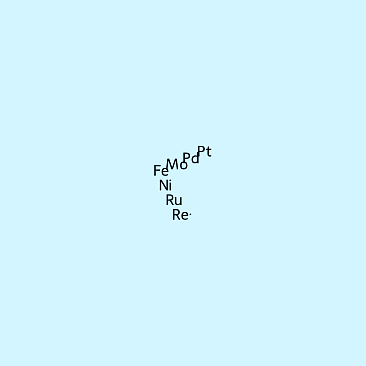 [Fe].[Mo].[Ni].[Pd].[Pt].[Re].[Ru]